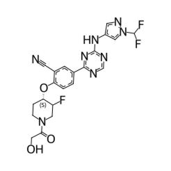 N#Cc1cc(-c2ncnc(Nc3cnn(C(F)F)c3)n2)ccc1O[C@H]1CCN(C(=O)CO)CC1F